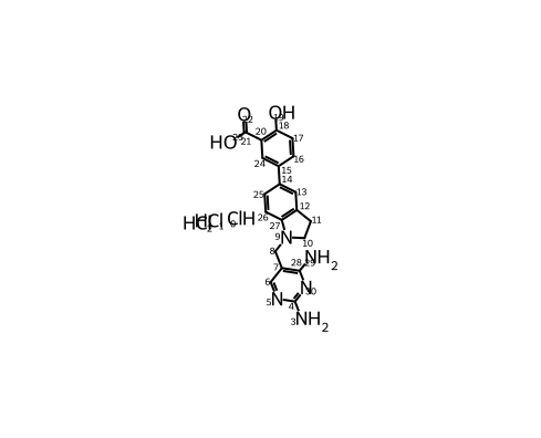 Cl.Cl.Cl.Nc1ncc(CN2CCc3cc(-c4ccc(O)c(C(=O)O)c4)ccc32)c(N)n1